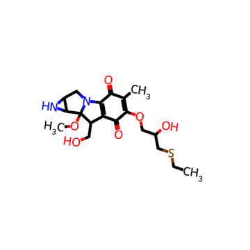 CCSCC(O)COC1=C(C)C(=O)C2=C(C1=O)C(CO)C1(OC)C3NC3CN21